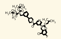 CC(C)COC(=O)N(Cc1ccc(F)cc1Cl)c1cncc(C(=O)N2CCC(c3cccc(CN(C(=O)OC(C)(C)C)C(=O)OC(C)(C)C)c3)CC2)c1